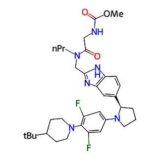 CCCN(Cc1nc2cc([C@H]3CCCN3c3cc(F)c(N4CCC(C(C)(C)C)CC4)c(F)c3)ccc2[nH]1)C(=O)CNC(=O)OC